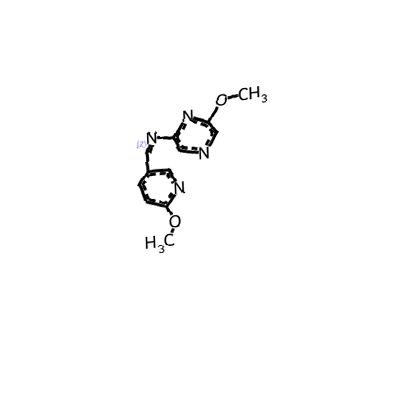 COc1ccc(/C=N\c2cncc(OC)n2)cn1